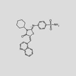 NS(=O)(=O)c1ccc(/N=C2\SC(=Cc3ccnc4ccccc34)C(=O)N2C2CCCCC2)cc1